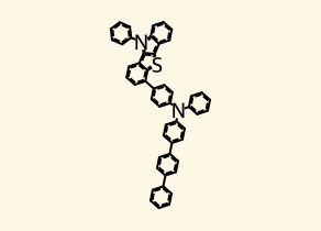 c1ccc(-c2ccc(-c3ccc(N(c4ccccc4)c4ccc(-c5cccc6c5sc5c7ccccc7n(-c7ccccc7)c65)cc4)cc3)cc2)cc1